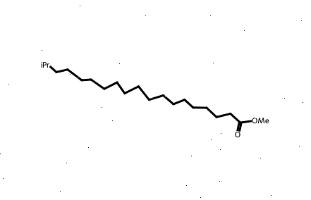 COC(=O)CCCCCCCCCCCCCCCCC(C)C